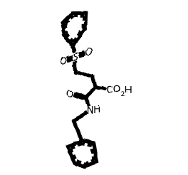 O=C(O)C(CCS(=O)(=O)c1ccccc1)C(=O)NCc1ccccc1